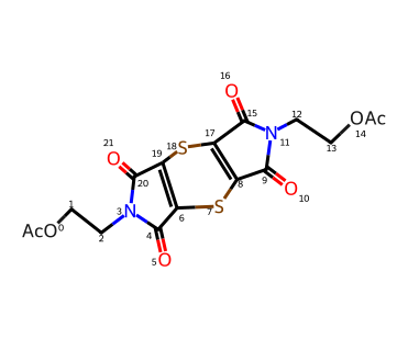 CC(=O)OCCn1c(=O)c2sc3c(=O)n(CCOC(C)=O)c(=O)c3sc2c1=O